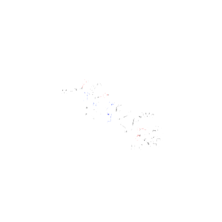 COC(=O)N[C@H](C(=O)N1CCC[C@H]1c1ncc(-c2ccc(B3OC(C)(C)C(C)(C)O3)c(OC)c2)[nH]1)C(C)C